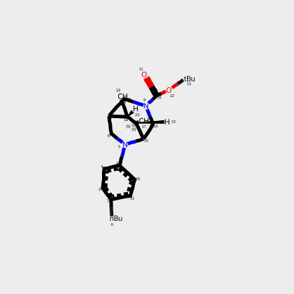 CCCCc1ccc(N2CC3CN(C(=O)OC(C)(C)C)CC2[C@@H](C)[C@H]3C)cc1